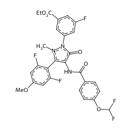 CCOC(=O)c1cc(F)cc(-n2c(=O)c(NC(=O)c3ccc(OC(F)F)cc3)c(-c3c(F)cc(OC)cc3F)n2C)c1